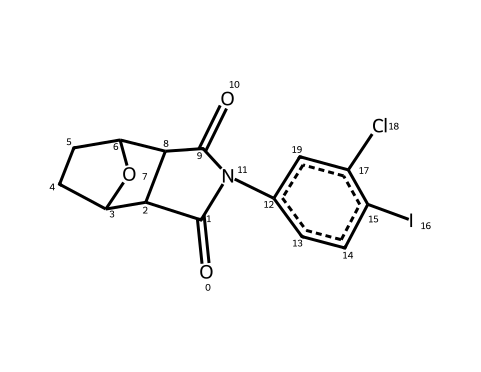 O=C1C2C3CCC(O3)C2C(=O)N1c1ccc(I)c(Cl)c1